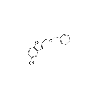 N#Cc1ccc2oc(COCc3ccccc3)cc2c1